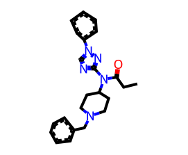 CCC(=O)N(c1ncn(-c2ccccc2)n1)C1CCN(Cc2ccccc2)CC1